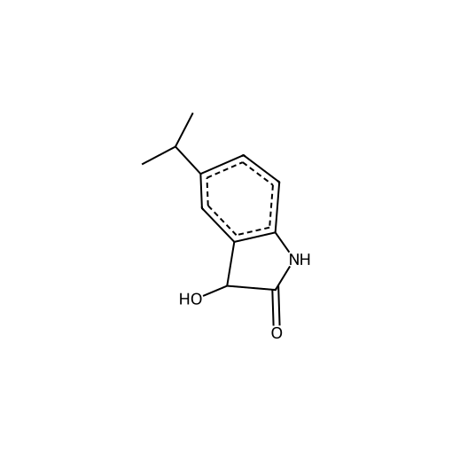 CC(C)c1ccc2c(c1)C(O)C(=O)N2